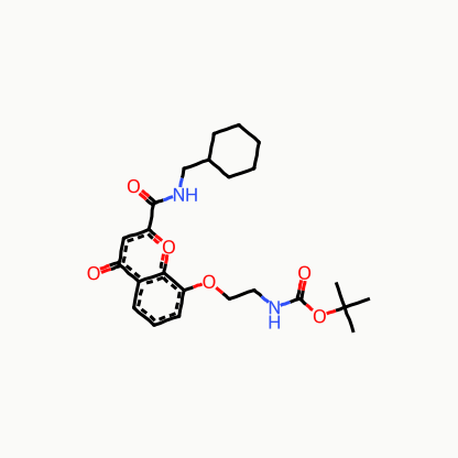 CC(C)(C)OC(=O)NCCOc1cccc2c(=O)cc(C(=O)NCC3CCCCC3)oc12